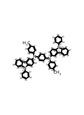 Cc1ccc(N(c2ccc(N(c3ccc(C)cc3)c3ccc4c(c3)c3ccccc3n4-c3ccccc3)cc2)c2ccc3c(c2)c2ccccc2n3-c2ccccc2)cc1